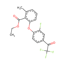 CCOC(=O)c1c(C)cccc1Oc1ccc(C(=O)C(F)(F)F)cc1F